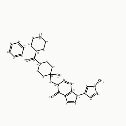 Cn1cc(-n2ccc3c(=O)n(CC4(O)CCN(C(=O)[C@@H]5CCNC[C@H]5c5ccccc5)CC4)cnc32)cn1